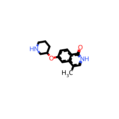 Cc1c[nH]c(=O)c2ccc(OC3CCCNC3)cc12